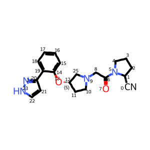 N#CC1CCCN1C(=O)CN1CC[C@H](Oc2ccccc2-c2cc[nH]n2)C1